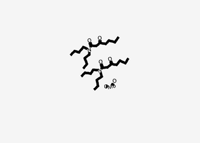 CCCCC(=O)CC(=O)N(CCCC)CCCC.CCCCC(=O)CC(=O)N(CCCC)CCCC.[O]=[Mo]=[O]